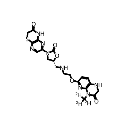 [2H]C([2H])([2H])N1C(=O)CNc2ccc(OCCNC[C@@H]3CN(c4cnc5c(n4)NC(=O)CS5)C(=O)O3)nc21